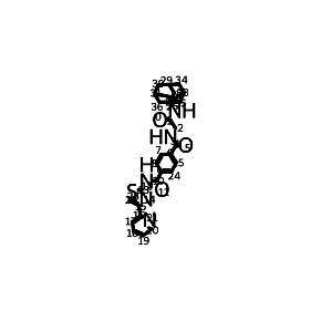 O=C(CNC(=O)c1ccc(C(=O)Nc2nc(-c3ccccn3)cs2)cc1)NC12CC3CC(CC(C3)C1)C2